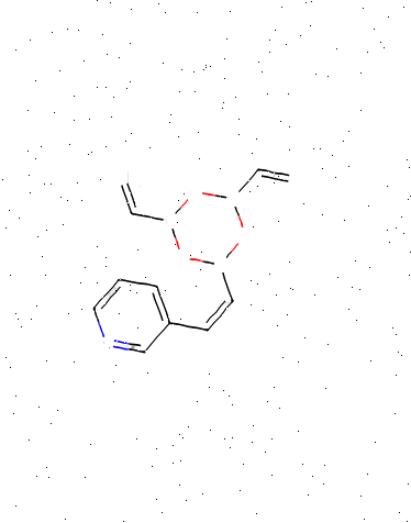 C=CB1OB(C=C)OB(/C=C\c2cccnc2)O1